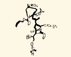 C=CCOC(=O)N1C[C@@H](C(C)(C)C)C[C@@]1(C=C(C)C1=C(C(=O)O)N2C(=O)[C@@H]([C@@H](CO[SiH](C)C)C(C)(C)C)[C@H]2C1)O[SiH](C)C